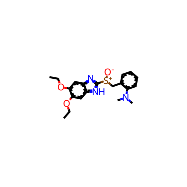 CCOc1cc2nc([S+]([O-])Cc3ccccc3N(C)C)[nH]c2cc1OCC